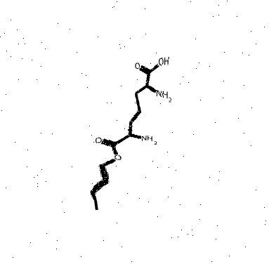 CCCCOC(=O)C(N)CCCC(N)C(=O)O